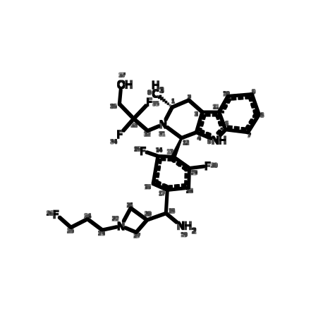 C[C@@H]1Cc2c([nH]c3ccccc23)[C@@H](c2c(F)cc(C(N)C3CN(CCCF)C3)cc2F)N1CC(F)(F)CO